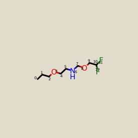 CCCOCCNCOCC(F)F